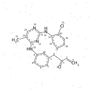 C=CC(=O)Cc1cccc(Nc2nc(Nc3ccccc3Cl)ncc2C)c1